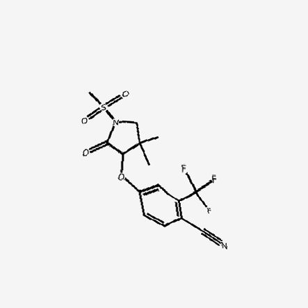 CC1(C)CN(S(C)(=O)=O)C(=O)C1Oc1ccc(C#N)c(C(F)(F)F)c1